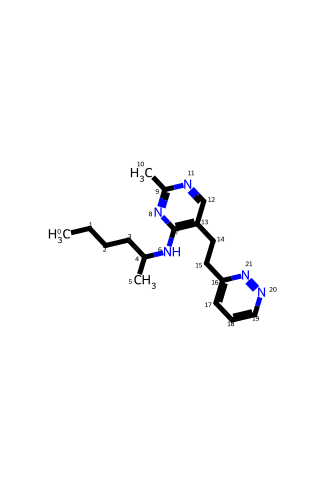 CCCCC(C)Nc1nc(C)ncc1CCc1cccnn1